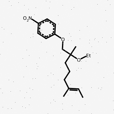 CC=C(C)CCCC(C)(COc1ccc([N+](=O)[O-])cc1)OCC